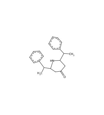 CC(c1ccccc1)C1CC(=O)CC(C(C)c2ccccc2)N1